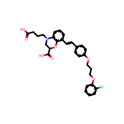 O=C(O)CCCN1CC(C(=O)O)Oc2c(/C=C/c3ccc(OCCCOc4ccccc4Cl)cc3)cccc21